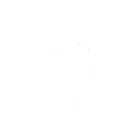 NC(=O)c1cnc2[nH]nc(N3C[C@H](O)C[C@@H]3c3cc(F)ccc3F)c2c1